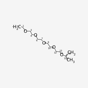 [CH2]COCCOCCOCCOCCOC(=C)C